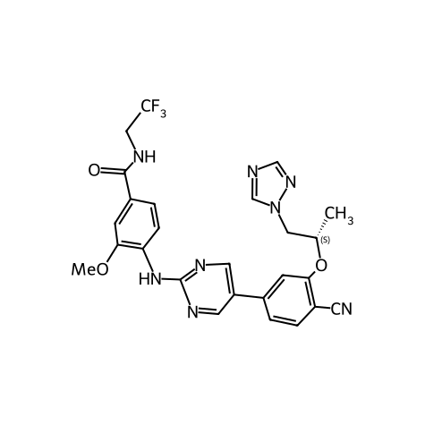 COc1cc(C(=O)NCC(F)(F)F)ccc1Nc1ncc(-c2ccc(C#N)c(O[C@@H](C)Cn3cncn3)c2)cn1